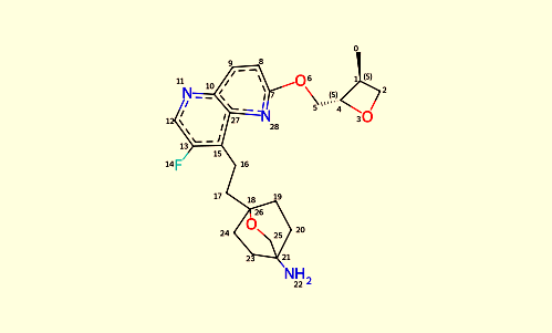 C[C@H]1CO[C@@H]1COc1ccc2ncc(F)c(CCC34CCC(N)(CC3)CO4)c2n1